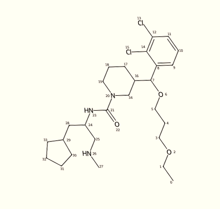 CCOCCCOC(c1cccc(Cl)c1Cl)C1CCCN(C(=O)NC(CNC)CC2CCCC2)C1